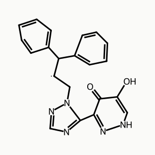 O=c1c(O)c[nH]nc1-c1ncnn1C[CH]C(c1ccccc1)c1ccccc1